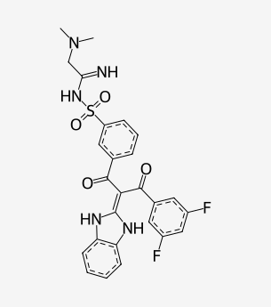 CN(C)CC(=N)NS(=O)(=O)c1cccc(C(=O)C(C(=O)c2cc(F)cc(F)c2)=C2Nc3ccccc3N2)c1